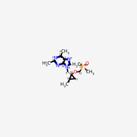 Cc1nc(C)c2ncn(C[C@]3(OCP(C)(C)=O)CC3C)c2n1